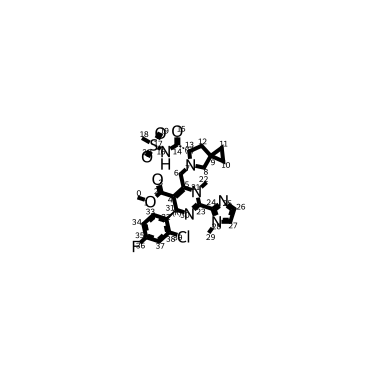 COC(=O)C1=C(CN2CC3(CC3)C[C@H]2C(=O)NS(C)(=O)=O)N(C)C(c2nccn2C)=N[C@H]1c1ccc(F)cc1Cl